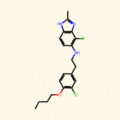 CCCCOc1ccc(CCNc2ccc3[nH]c(C)nc3c2F)cc1Cl